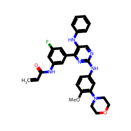 C=CC(=O)Nc1cc(F)cc(-c2nc(Nc3ccc(OC)c(N4CCOCC4)c3)ncc2Nc2ccccc2)c1